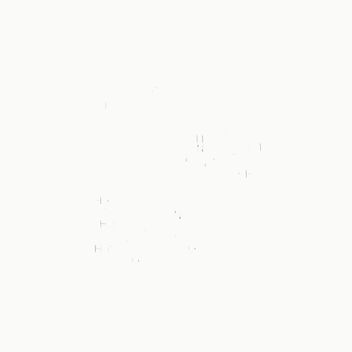 C=CCOc1cc(C)c(Cl)cc1[C@H](N[S@@+]([O-])C(C)(C)C)C1CCN(C(=O)C2COC(C)(C)O2)CC1